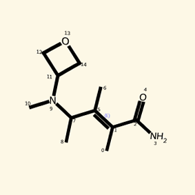 C/C(C(N)=O)=C(/C)C(C)N(C)C1COC1